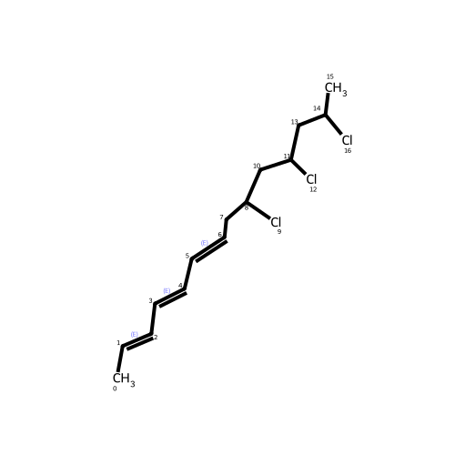 C/C=C/C=C/C=C/CC(Cl)CC(Cl)CC(C)Cl